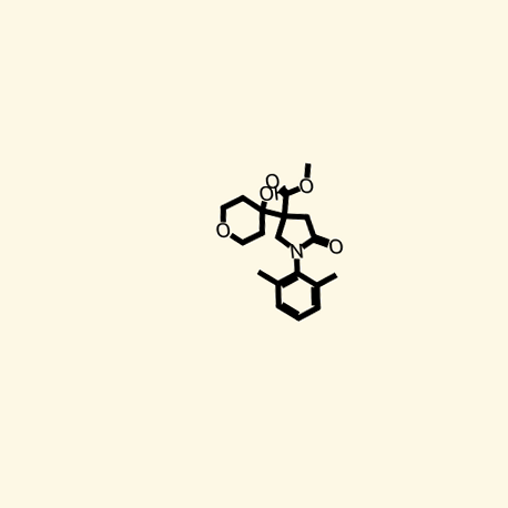 COC(=O)C1(C2(O)CCOCC2)CC(=O)N(c2c(C)cccc2C)C1